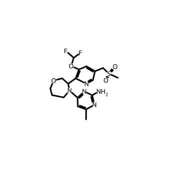 Cc1cc(N2CCCOCC2c2ncc(CS(C)(=O)=O)cc2OC(F)F)nc(N)n1